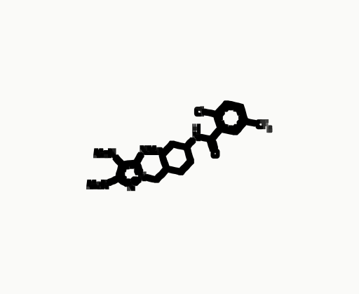 CNc1nn(CC2CCC(NC(=O)c3cc(C(F)(F)F)ccc3Cl)CC2)c(NC)c1NC